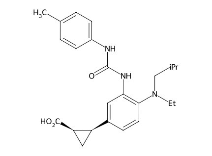 CCN(CC(C)C)c1ccc([C@H]2C[C@H]2C(=O)O)cc1NC(=O)Nc1ccc(C)cc1